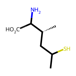 CC(S)C[C@@H](C)C(N)C(=O)O